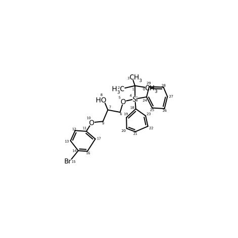 CC(C)(C)[Si](OCC(O)COc1ccc(Br)cc1)(c1ccccc1)c1ccccc1